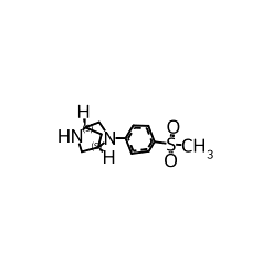 CS(=O)(=O)c1ccc(N2C[C@@H]3C[C@H]2CN3)cc1